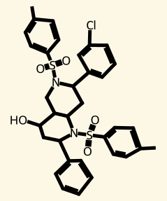 Cc1ccc(S(=O)(=O)N2CC3C(O)CC(c4ccccc4)N(S(=O)(=O)c4ccc(C)cc4)C3CC2c2cccc(Cl)c2)cc1